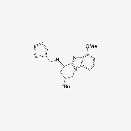 COc1cccc2c1nc1n2CC(C(C)(C)C)C/C1=N\Cc1ccccc1